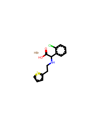 Br.O=C(O)C(NCCc1cccs1)c1ccccc1Cl